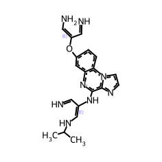 CC(C)N/C=C(\C=N)Nc1nc2cc(O/C(C=N)=C/N)ccc2n2ccnc12